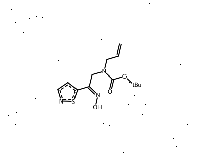 C=CCN(C/C(=N/O)c1ccns1)C(=O)OC(C)(C)C